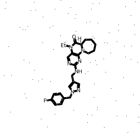 CCN1C(=O)[C@H]2CCCCCN2c2nc(NCc3cnn(Cc4ccc(F)cc4)c3)ncc21